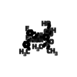 CCCN(CCC)C(=O)c1cc(C(=O)N[C@@H](Cc2cc(F)cc(F)c2)[C@H](O)CNCc2cccc(CC)c2)cc(S(=O)(=O)NCCO)c1